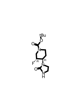 CC(C)(C)OC(=O)N1CC[C@@H](N2CCNC2=O)[C@H](F)C1